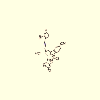 Cl.N#Cc1ccc2c(c1)c1c(n2C(=O)NCc2ccnc(Cl)c2)CCN(C/C=C/c2ccc(F)cc2Br)C1